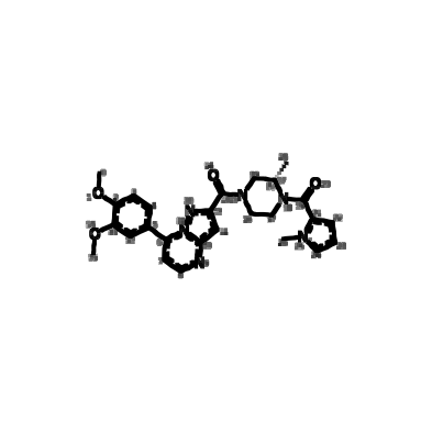 COc1ccc(-c2ccnc3cc(C(=O)N4CCN(C(=O)c5cccn5C)[C@@H](C)C4)nn23)cc1OC